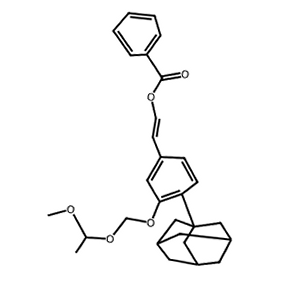 COC(C)OCOc1cc(/C=C/OC(=O)c2ccccc2)ccc1C12CC3CC(CC(C3)C1)C2